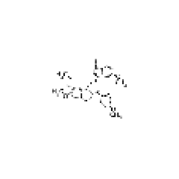 CCOc1cc2c(cc1OC)CCN(Sc1ccc(OC)cc1)C2CCc1c[nH]c2ccc(OC)cc12